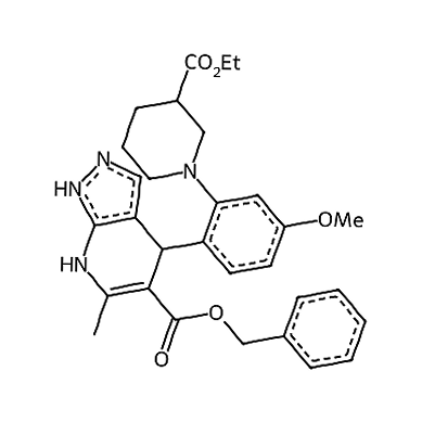 CCOC(=O)C1CCCN(c2cc(OC)ccc2C2C(C(=O)OCc3ccccc3)=C(C)Nc3[nH]ncc32)C1